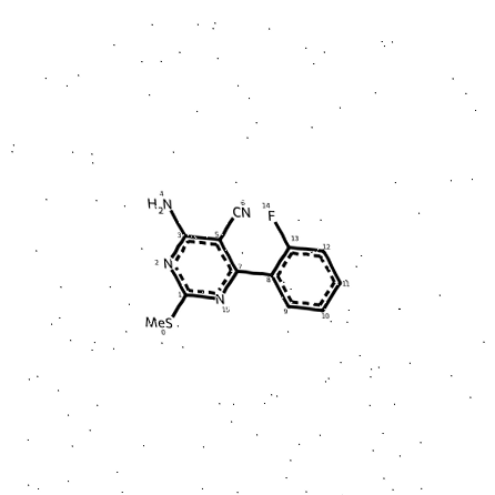 CSc1nc(N)c(C#N)c(-c2ccccc2F)n1